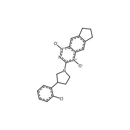 [O-][n+]1nc(N2CCC(c3ccccc3Cl)C2)[n+]([O-])c2cc3c(cc21)CCC3